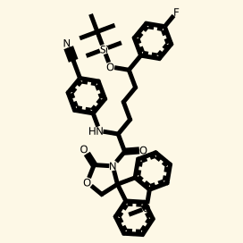 COc1ccccc1C1(c2ccccc2)COC(=O)N1C(=O)C(CCCC(O[Si](C)(C)C(C)(C)C)c1ccc(F)cc1)Nc1ccc(C#N)cc1